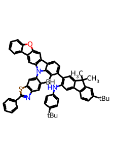 CC(C)(C)c1ccc(Nc2cc3c(cc2-c2ccc4c5cc6oc7ccccc7c6cc5n5c4c2Bc2cc4nc(-c6ccccc6)sc4cc2-5)C(C)(C)c2cc(C(C)(C)C)ccc2-3)cc1